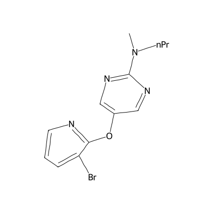 CCCN(C)c1ncc(Oc2ncccc2Br)cn1